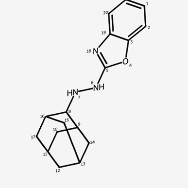 c1ccc2oc(NNC3C4CC5CC(C4)CC3C5)nc2c1